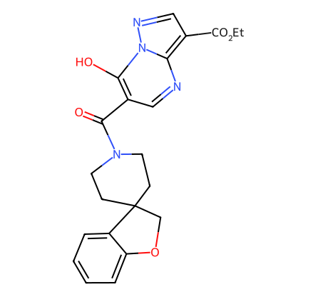 CCOC(=O)c1cnn2c(O)c(C(=O)N3CCC4(CC3)COc3ccccc34)cnc12